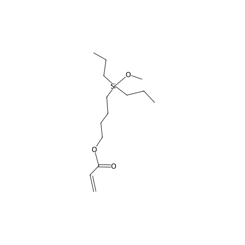 C=CC(=O)OCCCC[Si](CCC)(CCC)OC